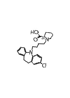 O=C(O)[C@H]1CCCCN1CCCCN1c2ccccc2CCc2cc(Cl)ccc21